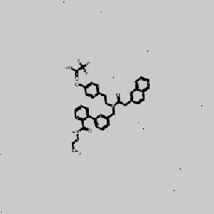 NCCNC(=O)c1ccccc1-c1cccc(CN(CCc2ccc(Cl)cc2)C(=O)Cc2ccc3ccccc3c2)c1.O=C(O)C(F)(F)F